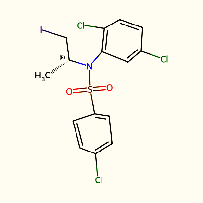 C[C@H](CI)N(c1cc(Cl)ccc1Cl)S(=O)(=O)c1ccc(Cl)cc1